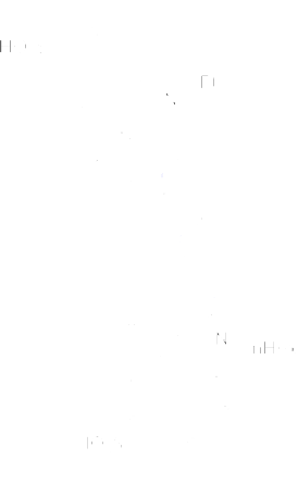 CCCCCCN1/C(=C/C=C/C=C/C2=[N+](CC)c3ccc(S(=O)(=O)O)cc3C2(C)C)C(C)(C)c2cc(S(=O)(=O)O)ccc21